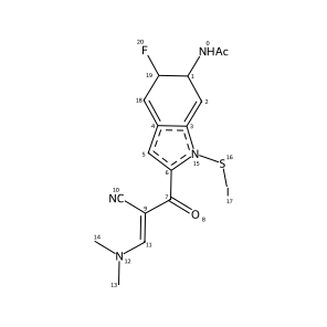 CC(=O)NC1C=c2c(cc(C(=O)/C(C#N)=C/N(C)C)n2SI)=CC1F